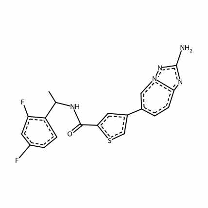 CC(NC(=O)c1cc(-c2ccc3nc(N)nn3c2)cs1)c1ccc(F)cc1F